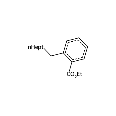 CCCCCCCCc1ccccc1C(=O)OCC